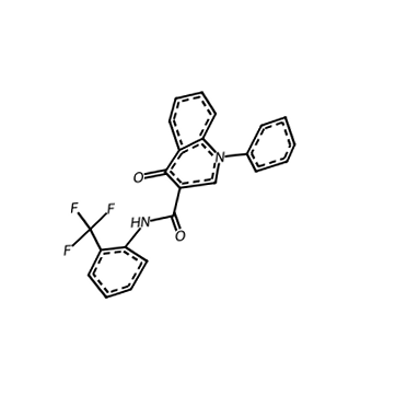 O=C(Nc1ccccc1C(F)(F)F)c1cn(-c2ccccc2)c2ccccc2c1=O